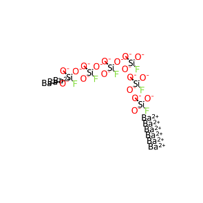 [Ba+2].[Ba+2].[Ba+2].[Ba+2].[Ba+2].[Ba+2].[Ba+2].[Ba+2].[Ba+2].[O-][Si]([O-])([O-])F.[O-][Si]([O-])([O-])F.[O-][Si]([O-])([O-])F.[O-][Si]([O-])([O-])F.[O-][Si]([O-])([O-])F.[O-][Si]([O-])([O-])F